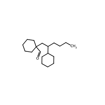 CCCCC(CC1(C=O)CCCCC1)C1CCCCC1